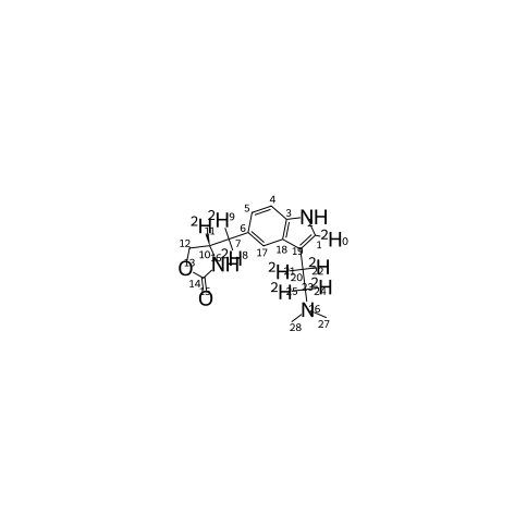 [2H]c1[nH]c2ccc(C([2H])([2H])[C@@]3([2H])COC(=O)N3)cc2c1C([2H])([2H])C([2H])([2H])N(C)C